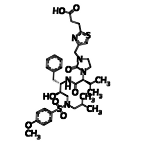 COc1ccc(S(=O)(=O)N(CC(C)C)C[C@@H](O)[C@H](Cc2ccccc2)NC(=O)[C@H](C(C)C)N2CCN(Cc3csc(CCC(=O)O)n3)C2=O)cc1